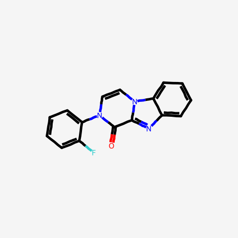 O=c1c2nc3ccccc3n2ccn1-c1ccccc1F